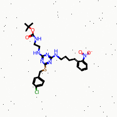 CC(C)(C)OC(=O)NCCNc1nc(NCCCCc2ccccc2[N+](=O)[O-])nc(SCc2ccc(Cl)cc2)n1